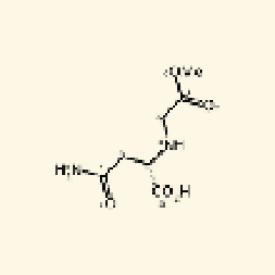 COC(=O)CN[C@@H](CC(N)=O)C(=O)O